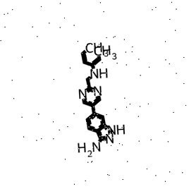 C/C=C\C(=C/C)NCc1ncc(-c2ccc3c(N)n[nH]c3c2)cn1